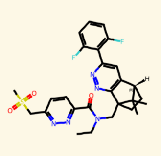 CCN(CC12CC[C@@H](c3cc(-c4c(F)cccc4F)nnc31)C2(C)C)C(=O)c1ccc(CS(C)(=O)=O)nn1